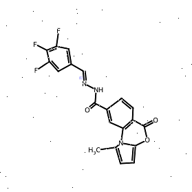 Cc1ccc2oc(=O)c3ccc(C(=O)N/N=C/c4cc(F)c(F)c(F)c4)cc3n12